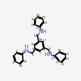 c1ccc(NCc2cc(CNc3ccccc3)cc(CNc3ccccc3)c2)cc1